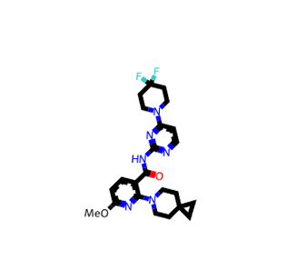 COc1ccc(C(=O)Nc2nccc(N3CCC(F)(F)CC3)n2)c(N2CCC3(CC2)CC3)n1